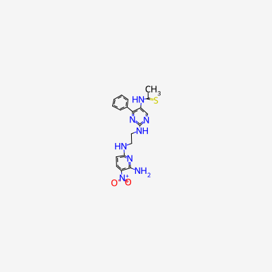 CC(=S)Nc1cnc(NCCNc2ccc([N+](=O)[O-])c(N)n2)nc1-c1ccccc1